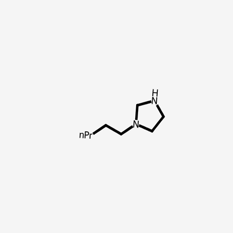 CCCCCN1CCNC1